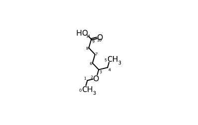 CCOC(CC)CCCC(=O)O